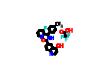 O=C(N[C@@H](c1ccc(C(F)(F)F)cc1)c1ncccc1F)c1ccc2nccc(O)c2c1.O=C(O)C(F)(F)F